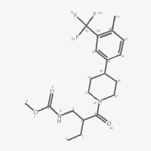 CCC(CNC(=O)OC)C(=O)N1CCC(c2ccc(C)c(C(F)(F)F)c2)CC1